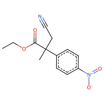 CCOC(=O)C(C)(CC#N)c1ccc([N+](=O)[O-])cc1